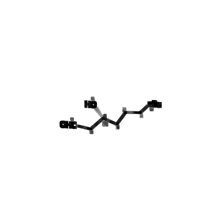 CCCCCCC[C@@H](O)CC=O